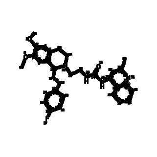 COc1cc2c(cc1OC)C(CCc1ccc(F)cc1)N(CCNC(=O)Nc1cc(C)nc3ccccc13)CC2